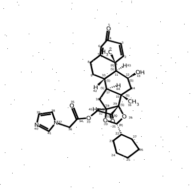 C[C@]12C=CC(=O)C=C1CC[C@@H]1[C@@H]2[C@@H](O)C[C@@]2(C)[C@H]1C[C@H]1O[C@@H](C3CCCCC3)O[C@]12C(=O)COC(=O)Cn1ccnc1